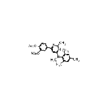 COc1ccc(-c2cc(N(C)c3c(C)cc(C)cc3C)nc(C)n2)cc1OC